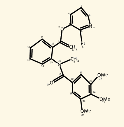 C=C(Oc1cccnc1CC)c1ccccc1N(C)C(=O)c1cc(OC)c(OC)c(OC)c1